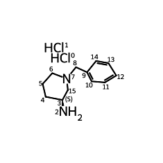 Cl.Cl.N[C@H]1CCCN(Cc2ccccc2)C1